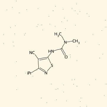 CC(C)c1nsc(NC(=O)N(C)C)c1C#N